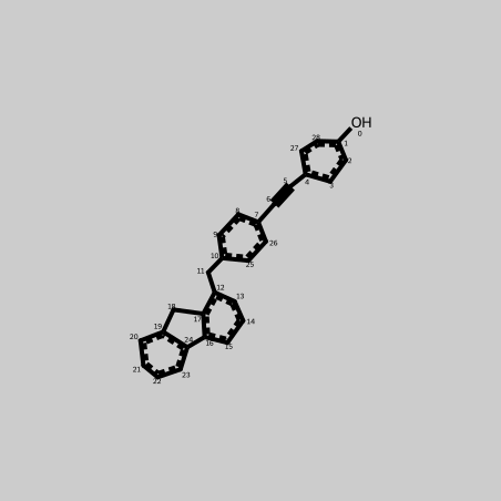 Oc1ccc(C#Cc2ccc(Cc3cccc4c3Cc3ccccc3-4)cc2)cc1